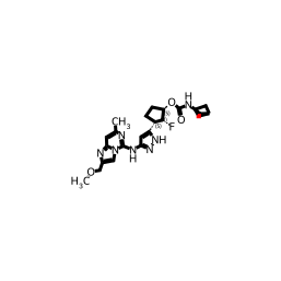 COCc1cn2c(Nc3cc([C@@H]4CC[C@H](OC(=O)NC56CC(C5)C6)[C@@H]4F)[nH]n3)nc(C)cc2n1